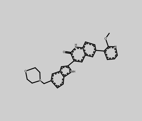 COc1ncccc1-c1ccc2[nH]c(=O)c(-c3cc4cc(CN5CCOCC5)ccc4[nH]3)cc2c1